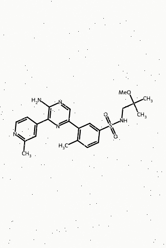 COC(C)(C)CNS(=O)(=O)c1ccc(C)c(-c2cnc(N)c(-c3ccnc(C)c3)n2)c1